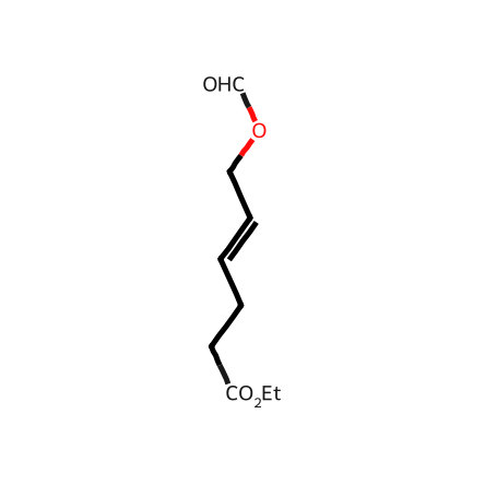 CCOC(=O)CC/C=C/COC=O